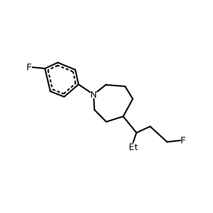 CCC(CCF)C1CCCN(c2ccc(F)cc2)CC1